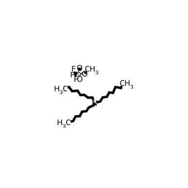 CCCCCCCCN(CCCCCCCC)CCCCCCCC.COS(=O)(=O)C(F)(F)F